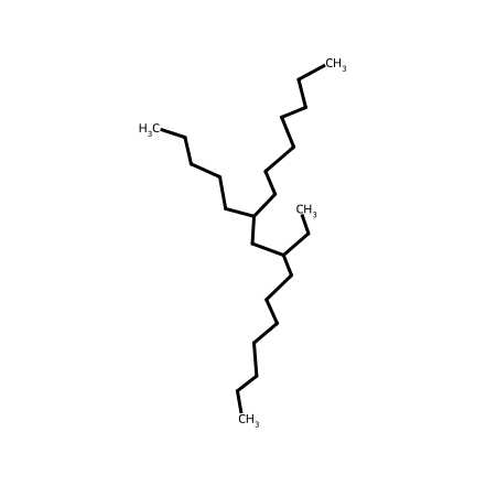 CCCCCCCC(CC)CC(CCCCC)CCCCCCC